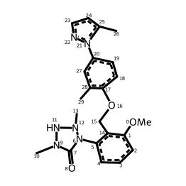 COc1cccc(N2C(=O)N(C)NN2C)c1COc1ccc(-n2nccc2C)cc1C